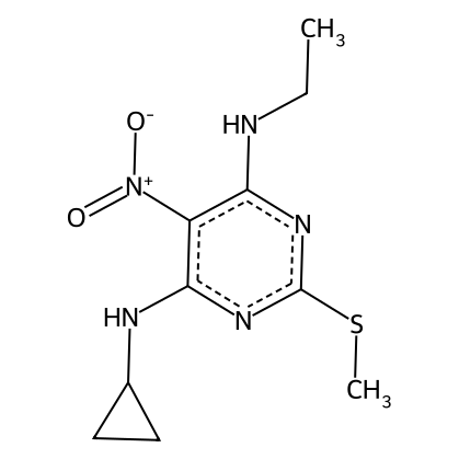 CCNc1nc(SC)nc(NC2CC2)c1[N+](=O)[O-]